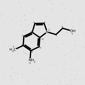 Cc1cc2ccn(CCO)c2cc1N